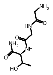 C[C@@H](O)[C@H](NC(=O)CNC(=O)CN)C(N)=O